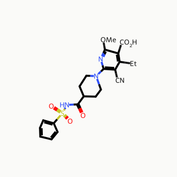 CCc1c(C#N)c(N2CCC(C(=O)NS(=O)(=O)c3ccccc3)CC2)nc(OC)c1C(=O)O